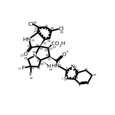 O=C(Nc1nc2c(s1)C=CCC2)[C@H]1[C@H]2CC(F)(F)CN2[C@]2(C(=O)Nc3c(Cl)cc(Cl)cc32)[C@H]1C(=O)O